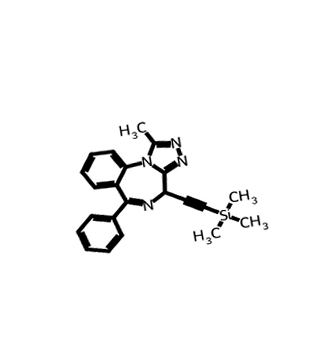 Cc1nnc2n1-c1ccccc1C(c1ccccc1)=NC2C#C[Si](C)(C)C